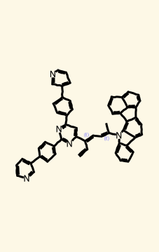 C=C/C(=C\C=C(/C)n1c2ccccc2c2ccc3c(c21)-c1cccc2cccc-3c12)c1cc(-c2ccc(-c3cccnc3)cc2)nc(-c2ccc(-c3cccnc3)cc2)n1